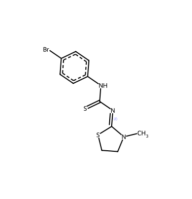 CN1CCS/C1=N\C(=S)Nc1ccc(Br)cc1